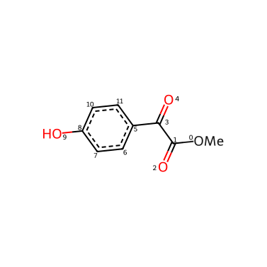 COC(=O)C(=O)c1ccc(O)cc1